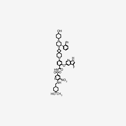 CC(C)c1ccccc1[C@@H]1CN(C2CCC(O)CC2)CCN1C1CC2(CCN(c3ccc(C(=O)NS(=O)(=O)c4cnc(NCC5CCC(C)(O)CC5)c([N+](=O)[O-])c4)c(Oc4cnc5[nH]cc(F)c5c4)c3)CC2)C1